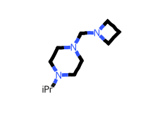 CC(C)N1CCN(CN2CCC2)CC1